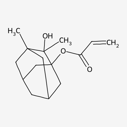 C=CC(=O)OC12CC3CC(CC(C)(C3)C1(C)O)C2